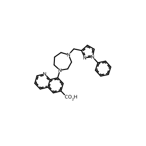 O=C(O)c1cc(N2CCCN(Cc3ccn(-c4ccccc4)n3)CC2)c2ncccc2c1